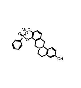 COc1ccc2c(c1OS(=O)(=O)c1ccccc1)CN1CCc3cc(O)ccc3C1C2